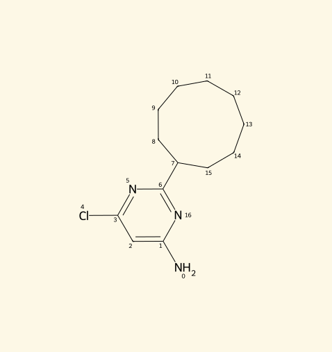 Nc1cc(Cl)nc(C2CCCCCCCC2)n1